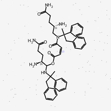 CC(Cc1ccccc1)(NC(OC(=O)/C=C\C(=O)N(C[C@@H](N)CCC(N)=O)C(C)(Cc1ccccc1)c1ccccc1)[C@@H](N)CCC(N)=O)c1ccccc1